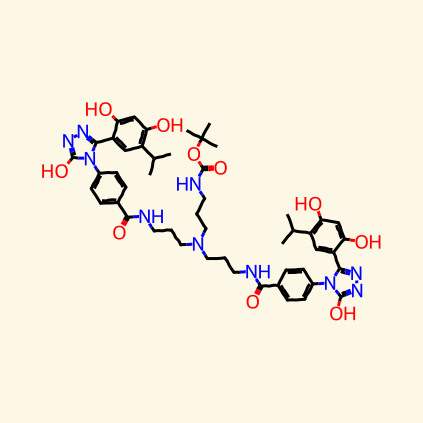 CC(C)c1cc(-c2nnc(O)n2-c2ccc(C(=O)NCCCN(CCCNC(=O)OC(C)(C)C)CCCNC(=O)c3ccc(-n4c(O)nnc4-c4cc(C(C)C)c(O)cc4O)cc3)cc2)c(O)cc1O